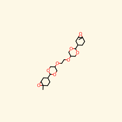 CC12CCC(C3OCC(OCCOC4COC(C5CCC6(C)OC6C5)OC4)CO3)CC1O2